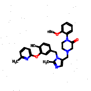 CCCCOc1ccccc1N1CCN(Cc2cnc(C)n2Cc2ccc(C#N)c(Oc3cccc(C)n3)c2)CC1=O